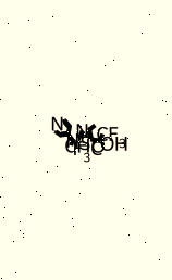 Cc1nc(N(C=O)c2ccncc2)sc1C(O)(C(F)(F)F)C(F)(F)F